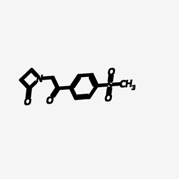 CS(=O)(=O)c1ccc(C(=O)CN2CCC2=O)cc1